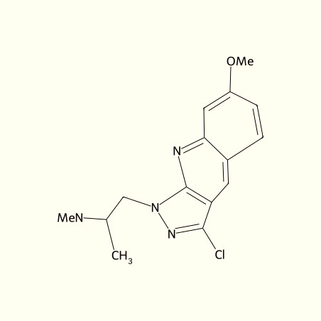 CNC(C)Cn1nc(Cl)c2cc3ccc(OC)cc3nc21